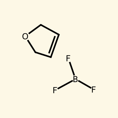 C1=CCOC1.FB(F)F